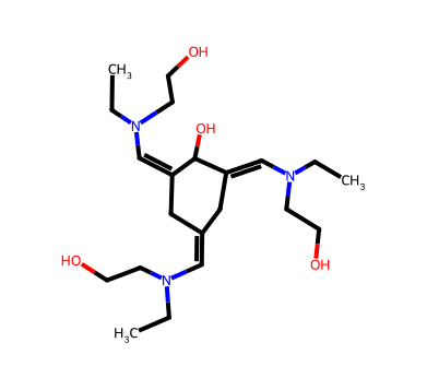 CCN(C=C1CC(=CN(CC)CCO)C(O)C(=CN(CC)CCO)C1)CCO